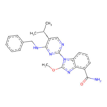 COc1nc2c(C(N)=O)cccc2n1-c1ncc(C(C)C)c(NCc2ccccc2)n1